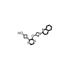 OC1CN(c2nccnc2OC2CN(c3ccc4ccccc4n3)C2)C1